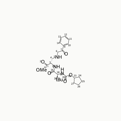 COC(=O)[C@H](CNCC(=O)c1ccccc1)NC(=O)[C@@H](NC(=O)OC1CCCC1)C(C)(C)C